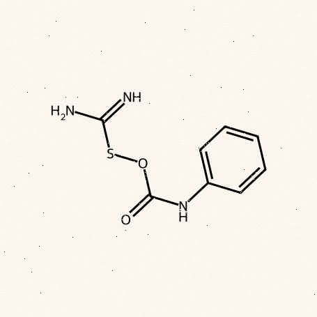 N=C(N)SOC(=O)Nc1ccccc1